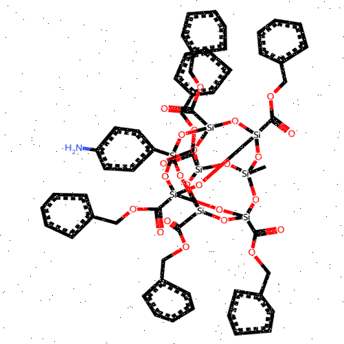 C[Si]12O[Si]3(C(=O)OCc4ccccc4)O[Si]4(C(=O)OCc5ccccc5)O[Si](C(=O)OCc5ccccc5)(O1)O[Si]1(C(=O)OCc5ccccc5)O[Si](C(=O)OCc5ccccc5)(O2)O[Si](C(=O)OCc2ccccc2)(O3)O[Si](c2ccc(N)cc2)(O4)O1